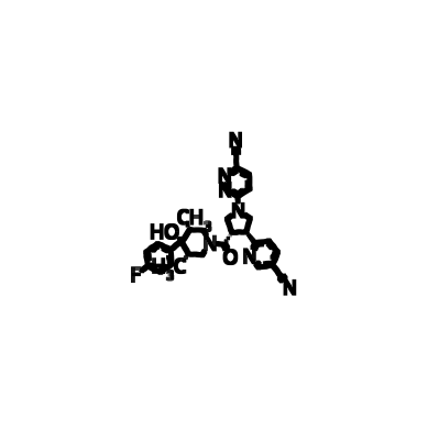 C[C@@H]1CN(C(=O)[C@@H]2CN(c3ccc(C#N)nn3)C[C@H]2c2ccc(C#N)cn2)C[C@H](C)[C@]1(O)c1ccc(F)cc1